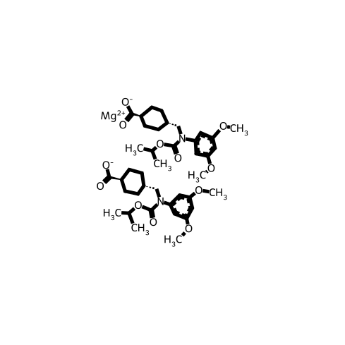 COc1cc(OC)cc(N(C[C@H]2CC[C@H](C(=O)[O-])CC2)C(=O)OC(C)C)c1.COc1cc(OC)cc(N(C[C@H]2CC[C@H](C(=O)[O-])CC2)C(=O)OC(C)C)c1.[Mg+2]